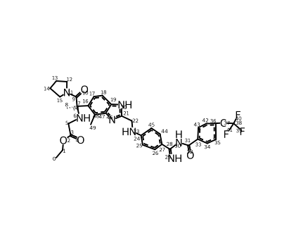 CCOC(=O)CN[C@@](C)(C(=O)N1CCCC1)c1ccc2[nH]c(CNc3ccc(C(=N)NC(=O)c4ccc(CC(F)(F)F)cc4)cc3)nc2c1C